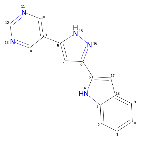 c1ccc2[nH]c(-c3cc(-c4cncnc4)[nH]n3)cc2c1